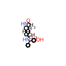 C[C@]12CCC(=O)NC1CC[C@@H]1[C@H]2CC[C@]2(C)C(C(=O)NC(c3ccccc3)c3ccc(O)cc3)CC[C@@H]12